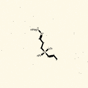 CC=C[Si](CCC)(CCC)CCC=NCCCCCCC